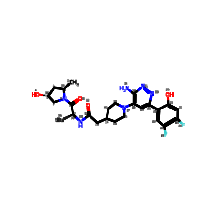 C[C@@H]1C[C@@H](O)CN1C(=O)[C@@H](NC(=O)CC1CCN(c2cc(-c3cc(F)c(F)cc3O)nnc2N)CC1)C(C)(C)C